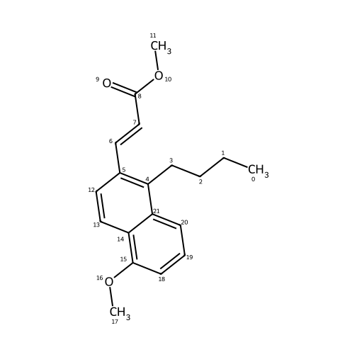 CCCCc1c(C=CC(=O)OC)ccc2c(OC)cccc12